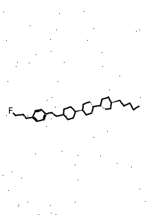 CCCCC[C@H]1CC[C@H]([C@H]2CC[C@H](C3CCC(CCc4ccc(CCCF)cc4)CC3)CC2)CC1